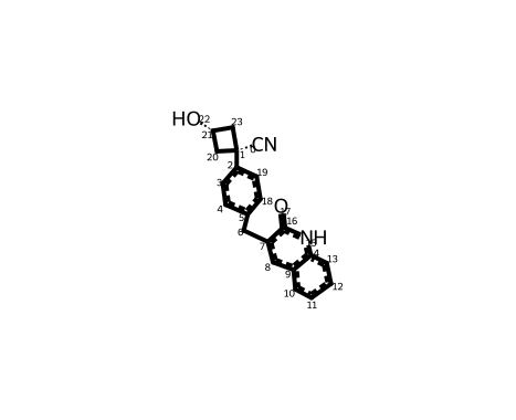 N#C[C@]1(c2ccc(Cc3cc4ccccc4[nH]c3=O)cc2)C[C@H](O)C1